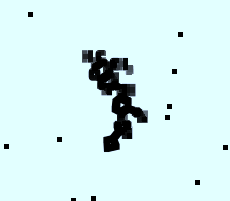 CC1COc2cnc(Nc3ccc(-n4cnc(C5CCC5)c4)c(C#N)c3)nc2N1C